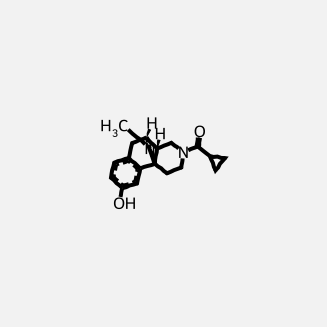 CN1CCC[C@]23CCN(C(=O)C4CC4)C[C@H]2[C@H]1Cc1ccc(O)cc13